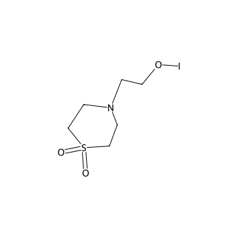 O=S1(=O)CCN(CCOI)CC1